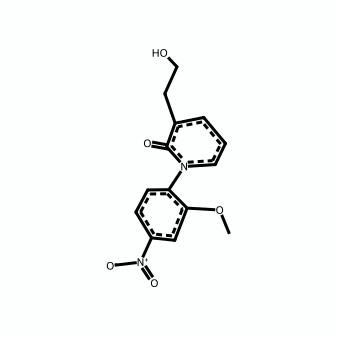 COc1cc([N+](=O)[O-])ccc1-n1cccc(CCO)c1=O